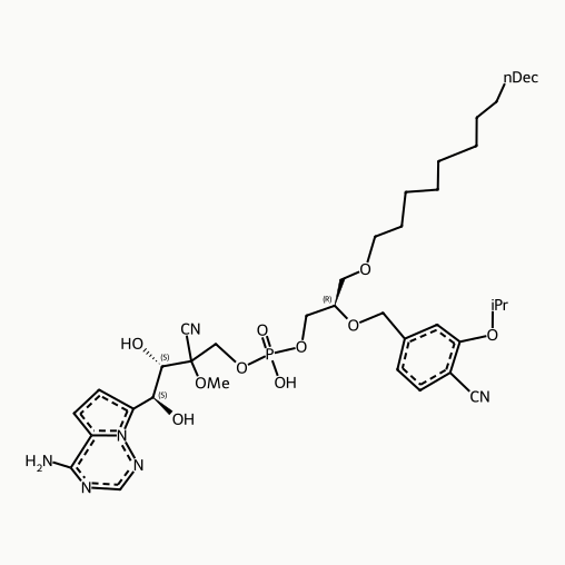 CCCCCCCCCCCCCCCCCCOC[C@H](COP(=O)(O)OCC(C#N)(OC)[C@@H](O)[C@@H](O)c1ccc2c(N)ncnn12)OCc1ccc(C#N)c(OC(C)C)c1